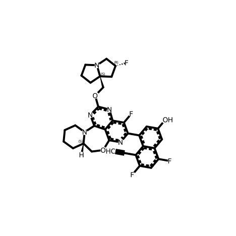 C#Cc1c(F)cc(F)c2cc(O)cc(-c3nc4c5c(nc(OC[C@@]67CCCN6C[C@H](F)C7)nc5c3F)N3CCCC[C@H]3CO4)c12